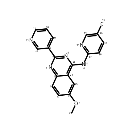 COc1ccc2nc(-c3cccnc3)nc(Nc3ccc(Cl)cn3)c2c1